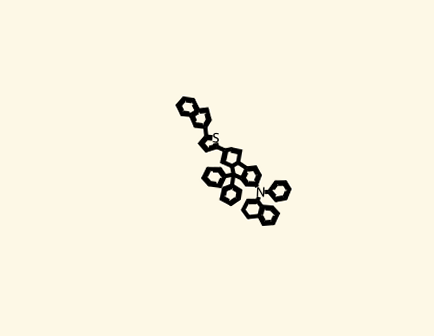 C1=CC2c3ccc(N(C4=CCCc5ccccc54)c4ccccc4)cc3C(c3ccccc3)(c3ccccc3)C2C=C1c1ccc(-c2ccc3ccccc3c2)s1